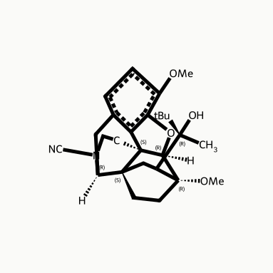 COc1ccc2c3c1O[C@@H]1[C@]34CCN(C#N)[C@H](C2)[C@]42CC[C@@]1(OC)C([C@@](C)(O)C(C)(C)C)C2